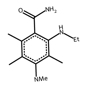 CCNc1c(C)c(NC)c(C)c(C)c1C(N)=O